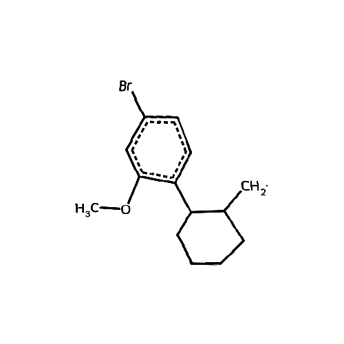 [CH2]C1CCCCC1c1ccc(Br)cc1OC